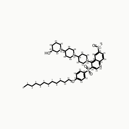 CCCCCCCCCCCCOc1ccc(S(=O)(=O)c2cnc3ccc([S@@+](C)[O-])cc3c2N2CCC(N3CCC(N4CCC[C@H](O)C4)CC3)CC2)cc1